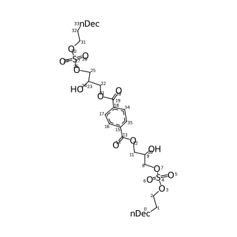 CCCCCCCCCCCCOS(=O)(=O)OCC(O)COC(=O)c1ccc(C(=O)OCC(O)COS(=O)(=O)OCCCCCCCCCCCC)cc1